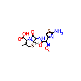 CO/N=C(\C(=O)N[C@@H]1C(=O)N2C(C(=O)O)=C(C)CS[C@@H]12)c1csc(N)n1